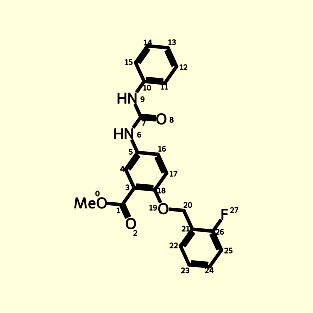 COC(=O)c1cc(NC(=O)Nc2ccccc2)ccc1OCc1ccccc1F